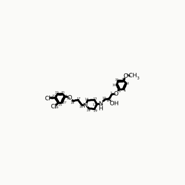 COc1ccc(OC[C@H](O)CNC2CCN(CCCOc3ccc(Cl)c(Cl)c3)CC2)cc1